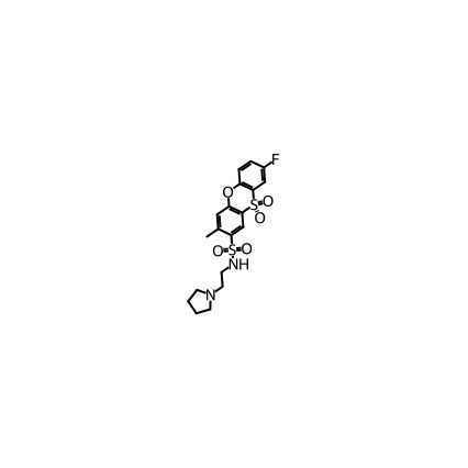 Cc1cc2c(cc1S(=O)(=O)NCCN1CCCC1)S(=O)(=O)c1cc(F)ccc1O2